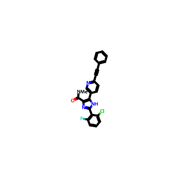 CNC(=O)c1nc(-c2c(F)cccc2Cl)[nH]c1-c1ccc(C#Cc2ccccc2)nc1